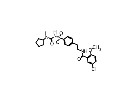 COc1ccc(Cl)cc1C(=O)NCCc1ccc(S(=O)(=O)NC(=O)NC2CCCC2)cc1